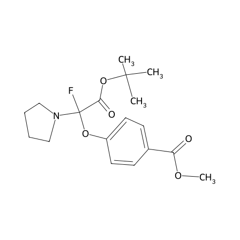 COC(=O)c1ccc(OC(F)(C(=O)OC(C)(C)C)N2CCCC2)cc1